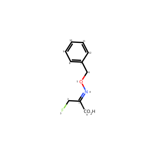 O=C(O)C(CF)=NOCc1ccccc1